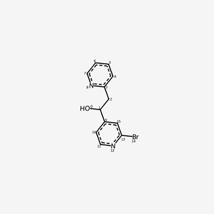 OC(Cc1ccccn1)c1ccnc(Br)c1